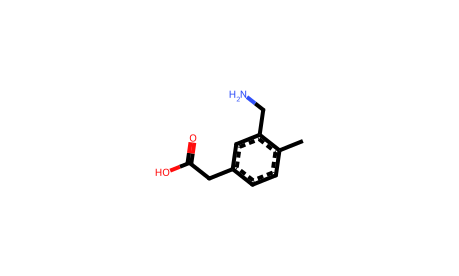 Cc1ccc(CC(=O)O)cc1CN